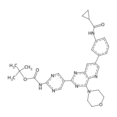 CC(C)(C)OC(=O)Nc1ncc(-c2nc(N3CCOCC3)c3ncc(-c4cccc(NC(=O)C5CC5)c4)cc3n2)cn1